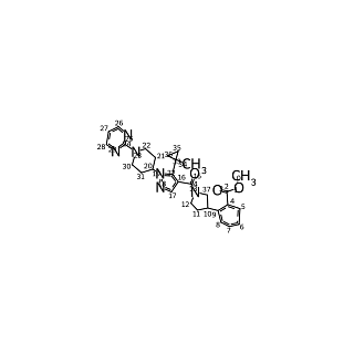 COC(=O)c1ccccc1C1CCN(C(=O)c2cnn(C3CCN(c4ncccn4)CC3)c2C2(C)CC2)C1